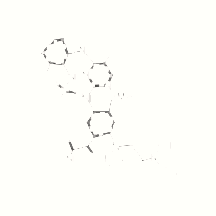 C=C(C(N)=O)c1cc(Nc2ncc(Cl)c(Nc3cccc(CC)c3NS(C)(=O)=O)n2)c(OC)cc1N(C)CCN(C)C